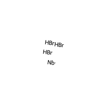 Br.Br.Br.[Nb]